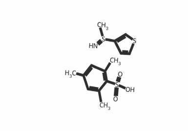 CS(=N)c1ccsc1.Cc1cc(C)c(S(=O)(=O)O)c(C)c1